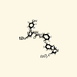 CCOC(=O)c1cnc2sc3cc(Oc4ccccc4CNC(=O)Nc4cc(C(C)(C)C)nn4-c4ccc(O)cc4)ccc3n12